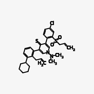 C=CCc1c(-c2cn(N(C)C)cc(-c3ccc(Cl)cc3S(=O)(=O)CC=C)c2=S)cccc1C1CCCCC1